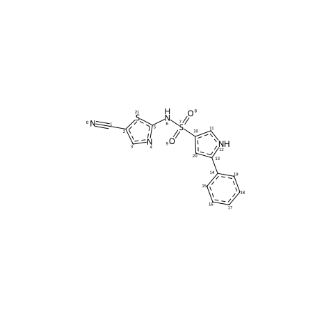 N#Cc1cnc(NS(=O)(=O)c2c[nH]c(-c3ccccc3)c2)s1